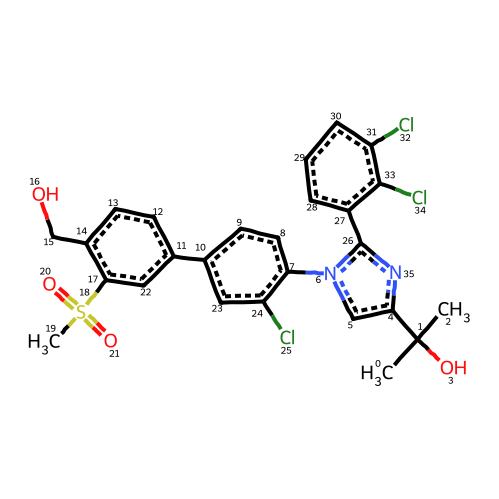 CC(C)(O)c1cn(-c2ccc(-c3ccc(CO)c(S(C)(=O)=O)c3)cc2Cl)c(-c2cccc(Cl)c2Cl)n1